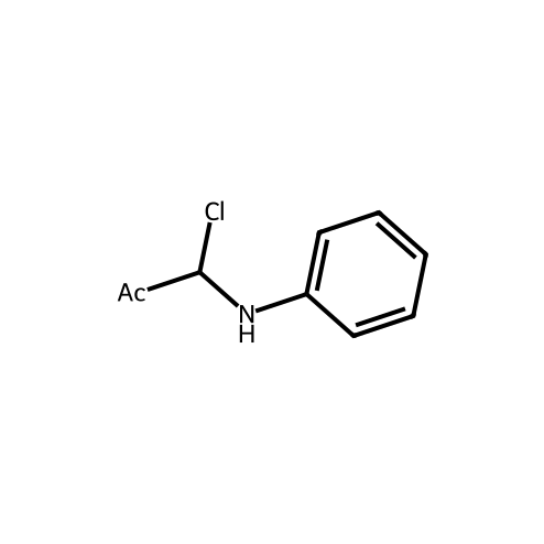 CC(=O)C(Cl)Nc1ccccc1